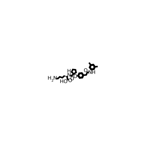 Cc1cc(C)cc(NC(=O)Cc2ccc(OC3(C(=O)N[C@H](CCCCN)C(=O)O)CCCC3)cc2)c1